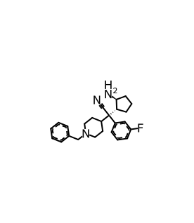 N#CC(c1cccc(F)c1)(C1CCN(Cc2ccccc2)CC1)[C@H]1CCC[C@@H]1N